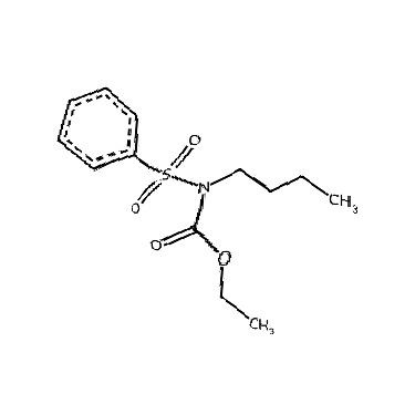 CCCCN(C(=O)OCC)S(=O)(=O)c1ccccc1